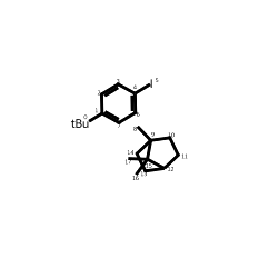 CC(C)(C)c1ccc(I)cc1.CC12CCC(CC1)C2(C)C